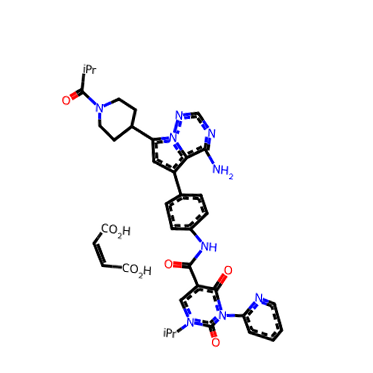 CC(C)C(=O)N1CCC(c2cc(-c3ccc(NC(=O)c4cn(C(C)C)c(=O)n(-c5ccccn5)c4=O)cc3)c3c(N)ncnn23)CC1.O=C(O)/C=C\C(=O)O